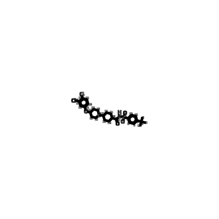 CC(C)(C)c1ccc(S(=O)(=O)NC(=O)C2CCC(N3CCC(Oc4ccc(Cl)c(Cl)c4)CC3)CC2)cc1